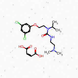 CC(C)N(CCOc1cc(Cl)cc(Cl)c1)C(=O)NCCN(C)C.O=C(O)/C=C\C(=O)O